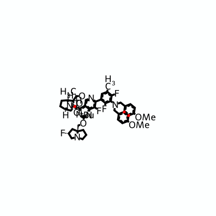 COc1ccc(CN(Cc2ccc(OC)cc2)c2c(F)c(C)cc(-c3nc4c5c(nc(OC[C@@]67CCCN6C[C@H](F)C7)nc5c3F)N3C[C@H]5CC[C@@H]([C@H]3[C@H](C)O4)N5C(=O)OC(C)(C)C)c2F)cc1